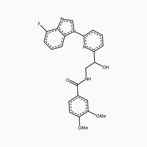 COc1ccc(C(=O)NCC(O)c2cccc(-n3cnc4c(F)cccc43)n2)cc1OC